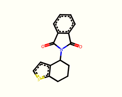 O=C1c2ccccc2C(=O)N1C1CCCc2sccc21